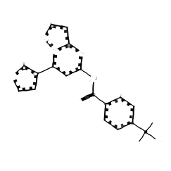 CC(C)(O)c1ccc(C(=O)Nc2cc(-c3ccoc3)n3nccc3n2)cc1